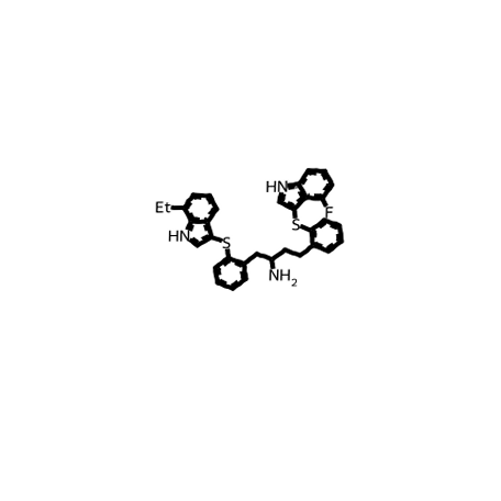 CCc1cccc2c(Sc3ccccc3CC(N)CCc3ccccc3Sc3c[nH]c4cccc(F)c34)c[nH]c12